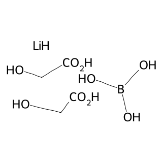 O=C(O)CO.O=C(O)CO.OB(O)O.[LiH]